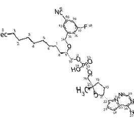 CCCCCCCCCCCCCCCCCC[C@H](COP(=O)(O)OC[C@]1(C)CC[C@H](c2ccc3c(N)ncnn23)O1)OCc1cc(F)cc(C#N)c1